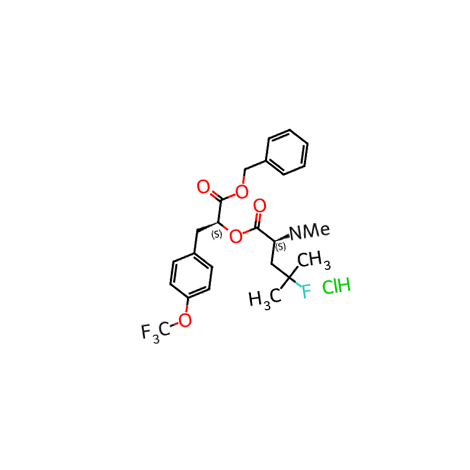 CN[C@@H](CC(C)(C)F)C(=O)O[C@@H](Cc1ccc(OC(F)(F)F)cc1)C(=O)OCc1ccccc1.Cl